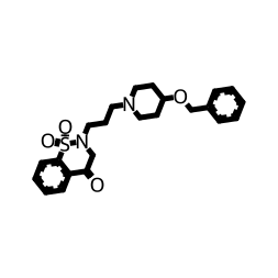 O=C1CN(CCCN2CCC(OCc3ccccc3)CC2)S(=O)(=O)c2ccccc21